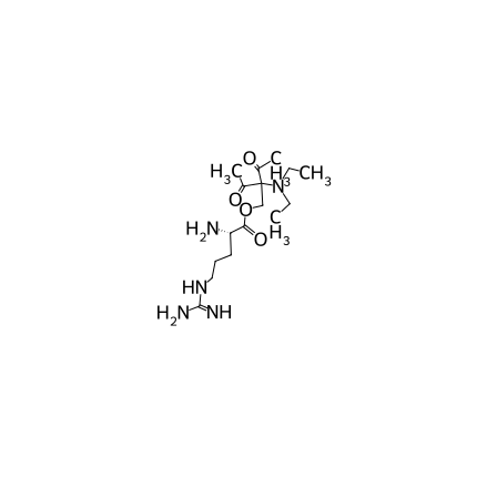 CCN(CC)C(COC(=O)[C@@H](N)CCCNC(=N)N)(C(C)=O)C(C)=O